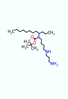 CCCCCCCCC(CCC)N(CCCCNCCCN)C(=O)OC(C)(C)C